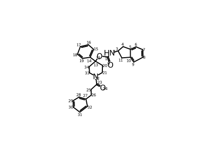 O=C(NC1Cc2ccccc2C1)OC1(c2ccccc2)CCN(C(=O)CCc2ccccc2)CC1